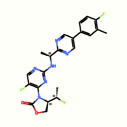 Cc1cc(-c2cnc([C@H](C)Nc3ncc(F)c(N4C(=O)OC[C@@H]4[C@H](C)F)n3)nc2)ccc1F